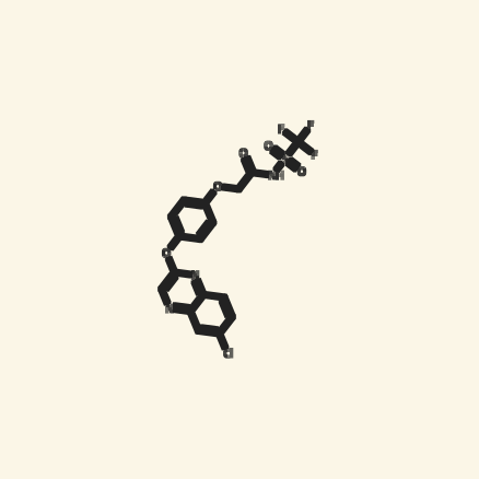 O=C(COc1ccc(Oc2cnc3cc(Cl)ccc3n2)cc1)NS(=O)(=O)C(F)(F)F